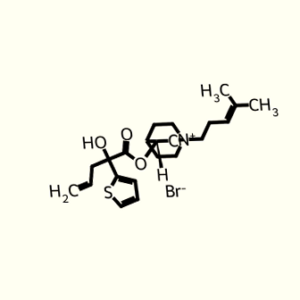 C=CCC(O)(C(=O)O[C@H]1C[N+]2(CCC=C(C)C)CCC1CC2)c1cccs1.[Br-]